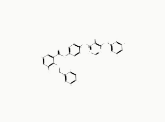 O=C(Nc1ccc(Oc2ncnc(Oc3ccccc3)c2F)cc1)c1cccc([N+](=O)[O-])c1OCc1ccccc1